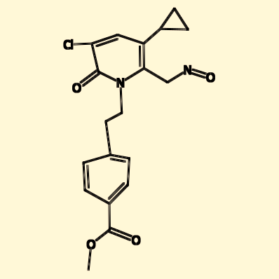 COC(=O)c1ccc(CCn2c(CN=O)c(C3CC3)cc(Cl)c2=O)cc1